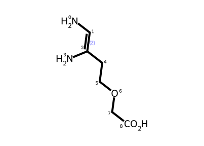 N/C=C(\N)CCOCC(=O)O